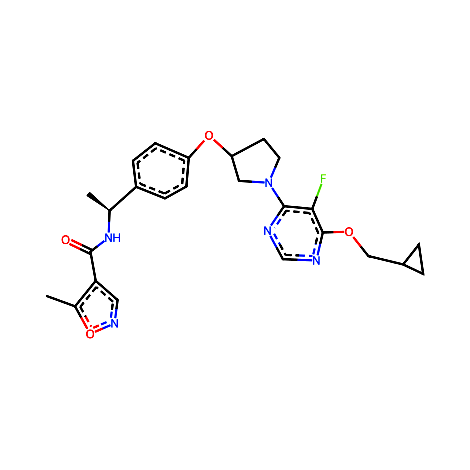 Cc1oncc1C(=O)N[C@@H](C)c1ccc(OC2CCN(c3ncnc(OCC4CC4)c3F)C2)cc1